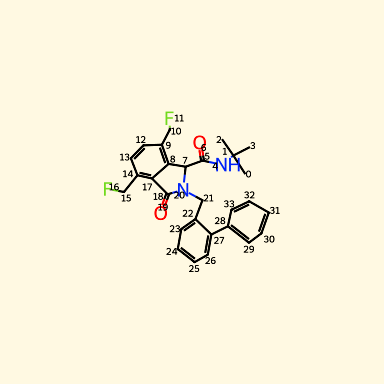 CC(C)(C)NC(=O)C1c2c(CF)ccc(CF)c2C(=O)N1Cc1ccccc1-c1ccccc1